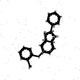 Brc1ccccc1Cn1ccc2nc(-c3ccccc3)nc-2c1